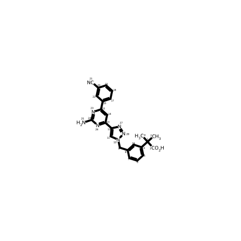 CC(C)(C(=O)O)c1cccc(Cn2cc(-c3cc(-c4cccc(C#N)c4)nc(N)n3)nn2)c1